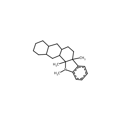 CN1c2ccccc2C2(C)CCC3CC4CCCCC4CC3C12C